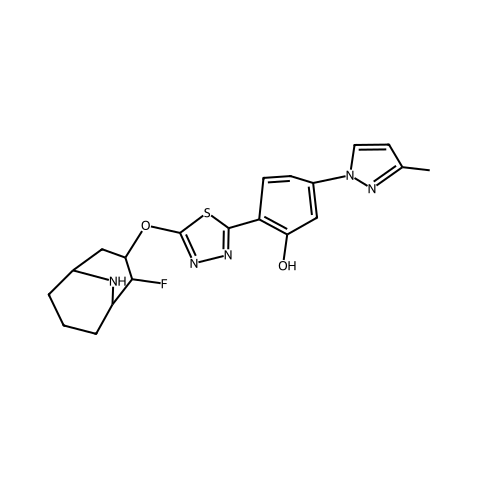 Cc1ccn(-c2ccc(-c3nnc(OC4CC5CCCC(N5)C4F)s3)c(O)c2)n1